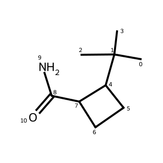 CC(C)(C)C1CCC1C(N)=O